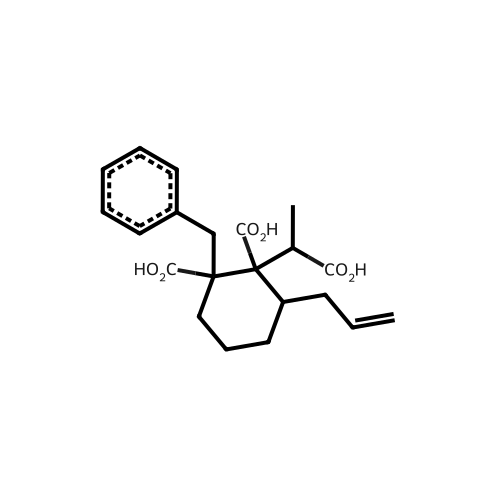 C=CCC1CCCC(Cc2ccccc2)(C(=O)O)C1(C(=O)O)C(C)C(=O)O